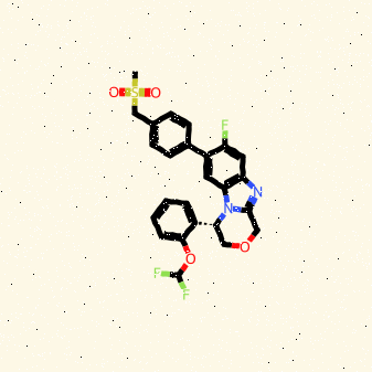 CS(=O)(=O)Cc1ccc(-c2cc3c(cc2F)nc2n3[C@@H](c3ccccc3OC(F)F)COC2)cc1